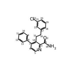 NC(=O)c1nccc(-c2ccccc2)c1CCc1cccc(Cl)c1